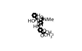 CNC(=O)c1cnc(Nc2ccc3c(c2)OC(C)(C)C3=O)nc1N[C@H](CO)c1ccccc1